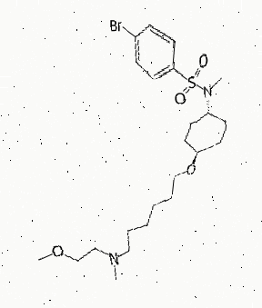 COCCN(C)CCCCCCO[C@H]1CC[C@H](N(C)S(=O)(=O)c2ccc(Br)cc2)CC1